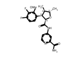 COc1c([C@H]2[C@@H](C)[C@H](C)O[C@H]2C(=O)Nc2ccnc(C(N)=O)c2)ccc(F)c1F